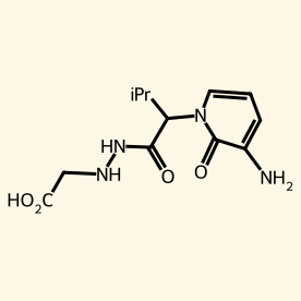 CC(C)C(C(=O)NNCC(=O)O)n1cccc(N)c1=O